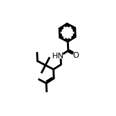 CCC(C)(C)C(C=C(C)C)CNC(=O)c1ccccc1